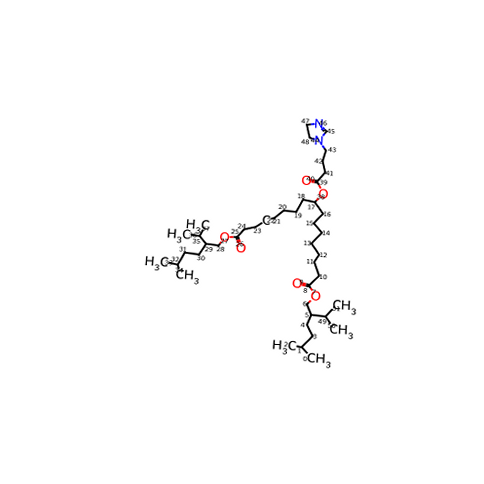 CC(C)CCC(COC(=O)CCCCCCCC(CCCCCCCC(=O)OCC(CCC(C)C)C(C)C)OC(=O)CCCN1C=NCC1)C(C)C